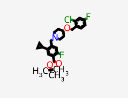 CC(C)(C)OC(=O)c1cc(C2CC2)c(CN2CCC(OCc3ccc(F)cc3Cl)CC2)cc1F